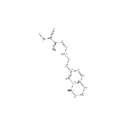 COC(=O)C(=N)/C=C\NCCc1ccc2c(n1)NCCC2